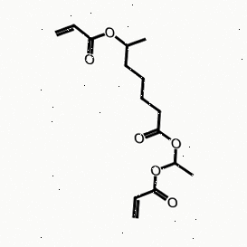 C=CC(=O)OC(C)CCCCC(=O)OC(C)OC(=O)C=C